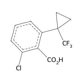 O=C(O)c1c(Cl)cccc1C1(C(F)(F)F)CC1